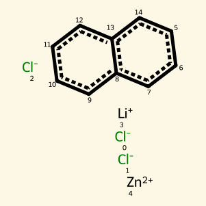 [Cl-].[Cl-].[Cl-].[Li+].[Zn+2].c1ccc2ccccc2c1